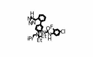 CCC(CC)N(CC(C)C)c1ccc(-c2ccccc2-c2nnn[nH]2)cc1NC(=O)Nc1ccc(Cl)cc1F